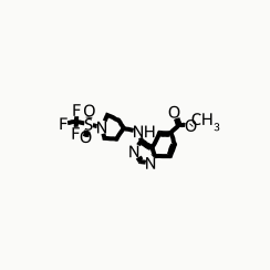 COC(=O)c1ccc2ncnc(NC3CCN(S(=O)(=O)C(F)(F)F)CC3)c2c1